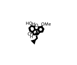 COc1ccc2c3c1O[C@H]1[C@@H](O)C=C[C@@]4(Cl)[C@@H](C2)N(CC2CC2)CC[C@]314